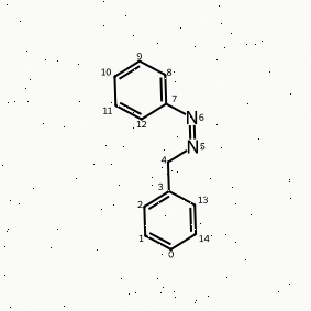 c1ccc(C/N=N\c2ccccc2)cc1